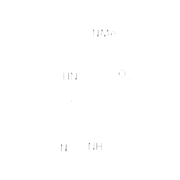 CNC(=O)NC1C=NNC1